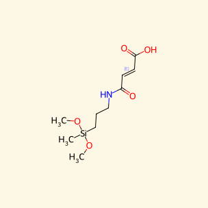 CO[Si](C)(CCCNC(=O)/C=C/C(=O)O)OC